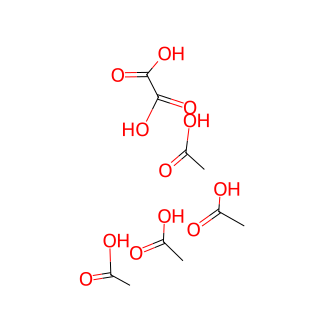 CC(=O)O.CC(=O)O.CC(=O)O.CC(=O)O.O=C(O)C(=O)O